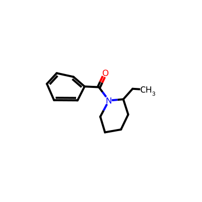 CCC1CCCCN1C(=O)c1ccccc1